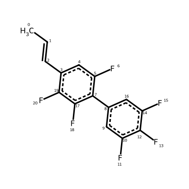 C/C=C/c1cc(F)c(-c2cc(F)c(F)c(F)c2)c(F)c1F